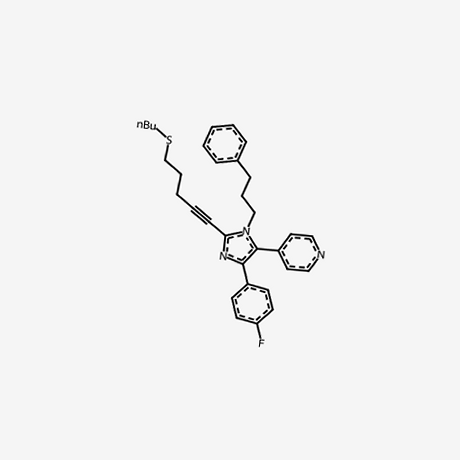 CCCCSCCCC#Cc1nc(-c2ccc(F)cc2)c(-c2ccncc2)n1CCCc1ccccc1